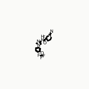 N#CN1CCC[C@](F)(C(=O)Nc2cn(-c3cccc(OC(F)(F)F)c3)cn2)C1